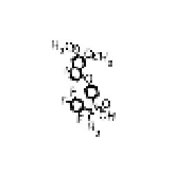 COc1cc2nccc(Oc3ccc(N(C(=O)O)C(C)c4cc(F)c(F)cc4F)cc3)c2cc1OC